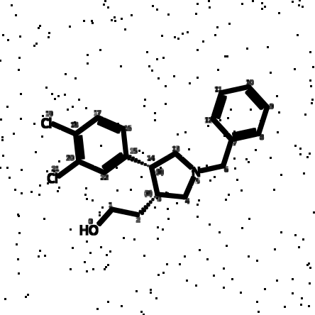 OCC[C@H]1CN(Cc2ccccc2)C[C@H]1c1ccc(Cl)c(Cl)c1